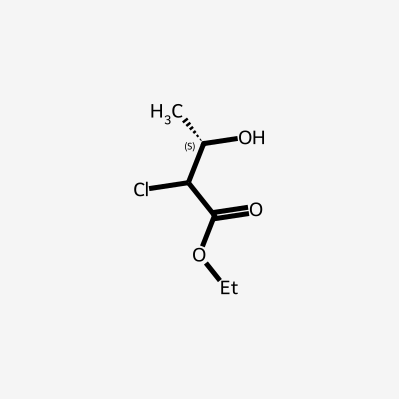 CCOC(=O)C(Cl)[C@H](C)O